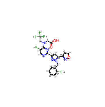 O=C(O)CN(CC(F)(F)F)c1nc(-c2cc(-c3ccon3)n(Cc3ccccc3F)n2)ncc1F